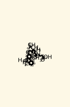 Cc1cc(O[C@H](CC(C)C)c2ccc(C(=O)NCCC(=O)O)s2)cc(C)c1-c1ccccc1C(F)(F)F